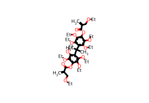 C=C(COCC)C(=O)Oc1c(OCC)c(OCC)c(C(C)(C)c2c(OCC)c(OCC)c(OC(=O)C(=C)COCC)c(OCC)c2OCC)c(OCC)c1OCC